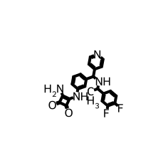 CC(NC(c1ccncc1)c1cccc(Nc2c(N)c(=O)c2=O)c1)c1ccc(F)c(F)c1